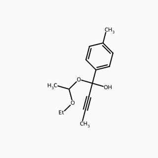 CC#CC(O)(OC(C)OCC)c1ccc(C)cc1